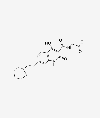 O=C(O)CNC(=O)c1c(O)c2ccc(CCC3CCCCC3)cc2[nH]c1=O